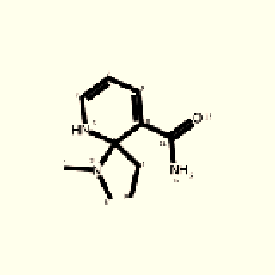 CCC1(N(C)C)NC=CC=C1C(N)=O